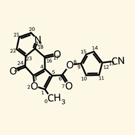 Cc1oc2c(c1C(=O)Oc1ccc(C#N)cc1)C(=O)c1ncccc1C2=O